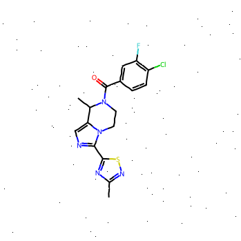 Cc1nsc(-c2ncc3n2CCN(C(=O)c2ccc(Cl)c(F)c2)C3C)n1